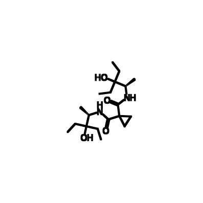 CCC(O)(CC)[C@@H](C)NC(=O)C1(C(=O)N[C@H](C)C(O)(CC)CC)CC1